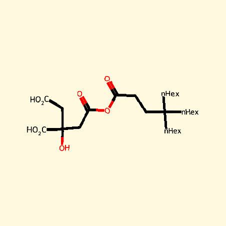 CCCCCCC(CCCCCC)(CCCCCC)CCC(=O)OC(=O)CC(O)(CC(=O)O)C(=O)O